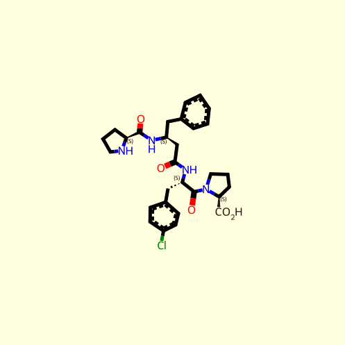 O=C(C[C@H](Cc1ccccc1)NC(=O)[C@@H]1CCCN1)N[C@@H](Cc1ccc(Cl)cc1)C(=O)N1CCC[C@H]1C(=O)O